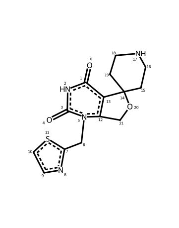 O=c1[nH]c(=O)n(Cc2nccs2)c2c1C1(CCNCC1)OC2